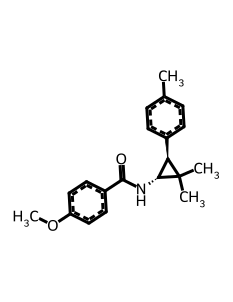 COc1ccc(C(=O)N[C@@H]2[C@@H](c3ccc(C)cc3)C2(C)C)cc1